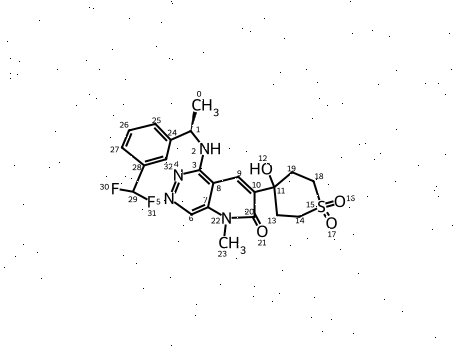 C[C@@H](Nc1nncc2c1cc(C1(O)CCS(=O)(=O)CC1)c(=O)n2C)c1cccc(C(F)F)c1